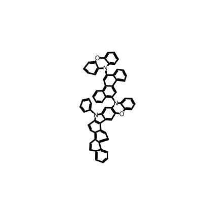 c1ccc(-n2c3cc4c(cc3c3c5ccc6c7ccccc7ccc6c5ccc32)Oc2ccccc2N4c2cc3c4ccccc4c(N4c5ccccc5Oc5ccccc54)cc3c3ccccc23)cc1